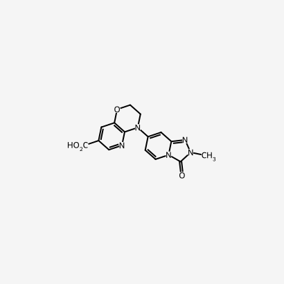 Cn1nc2cc(N3CCOc4cc(C(=O)O)cnc43)ccn2c1=O